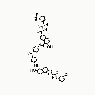 O=C(NC(=O)c1ccc2c(N=Nc3ccc(C(=O)c4ccc(N=Nc5c(O)ccc6cc(C(=O)NC(=O)Nc7cccc(C(F)(F)F)c7)ccc56)cc4)cc3)c(O)ccc2c1)Nc1cccc(Cl)c1